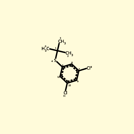 CC(C)(C)Sc1cc(Cl)cc(Cl)c1